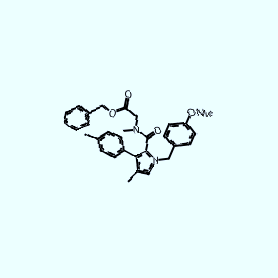 COc1ccc(Cn2cc(C)c(-c3ccc(C)cc3)c2C(=O)N(C)CC(=O)OCc2ccccc2)cc1